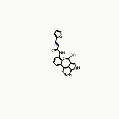 O=C(/C=C/c1cccs1)Nc1cccc(-c2ncnc3[nH]cc(C(=O)O)c23)c1